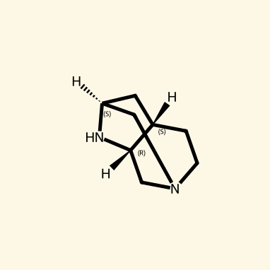 C1CN2C[C@@H]3C[C@H]1[C@H](C2)N3